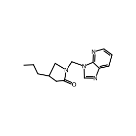 CCCC1CC(=O)N(Cn2cnc3cccnc32)C1